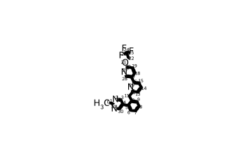 Cc1ncc(-c2ccccc2Cc2cccc(-c3ccc(OCC(F)(F)F)nc3)n2)cn1